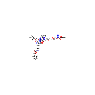 COC(=O)C[C@H](NC(=O)[C@H](CCCCNC(=O)OCc1ccccc1)NC(=O)OCc1ccccc1)C(=O)NCCOCCOCCONC(=O)OC(C)(C)C